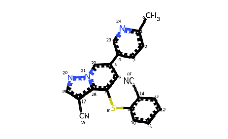 Cc1ccc(-c2cc(Sc3ccccc3C#N)c3c(C#N)cnn3c2)cn1